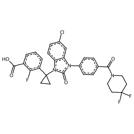 O=C(O)c1cccc(C2(n3c(=O)n(-c4ccc(C(=O)N5CCC(F)(F)CC5)cc4)c4cc(Cl)ccc43)CC2)c1F